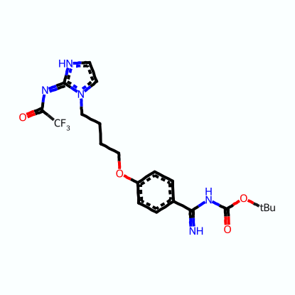 CC(C)(C)OC(=O)NC(=N)c1ccc(OCCCCn2cc[nH]/c2=N/C(=O)C(F)(F)F)cc1